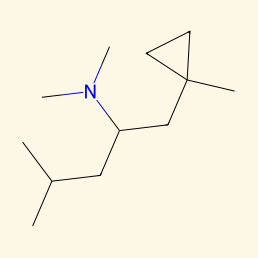 CC(C)CC(CC1(C)CC1)N(C)C